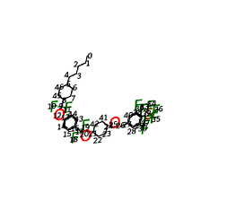 CCCCCC1CCC(C(F)(F)Oc2ccc(C(F)(F)OC3CCC(OCc4cc(F)c(S(F)(F)(F)(F)F)c(F)c4)CC3)cc2)CC1